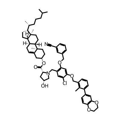 Cc1c(COc2cc(OCc3cccc(C#N)c3)c(CN3C[C@H](O)C[C@@H]3C(=O)O[C@H]3CC[C@@]4(C)C(=CC[C@H]5[C@@H]6CC[C@H]([C@H](C)CCCC(C)C)[C@@]6(C)CC[C@@H]54)C3)cc2Cl)cccc1-c1ccc2c(c1)OCCO2